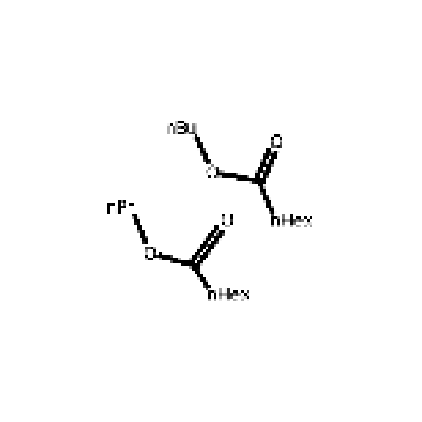 CCCCCCC(=O)OCCC.CCCCCCC(=O)OCCCC